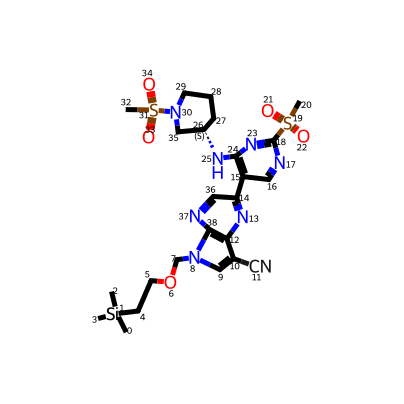 C[Si](C)(C)CCOCn1cc(C#N)c2nc(-c3cnc(S(C)(=O)=O)nc3N[C@H]3CCCN(S(C)(=O)=O)C3)cnc21